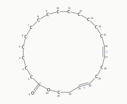 O=C1CCCCCCCCCCCCCC/C=C\CC/C=C/CCO1